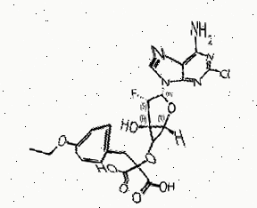 CCOc1ccc(CC(OC2[C@H]3O[C@@H](n4cnc5c(N)nc(Cl)nc54)[C@@H](F)[C@@]23O)(C(=O)O)C(=O)O)cc1